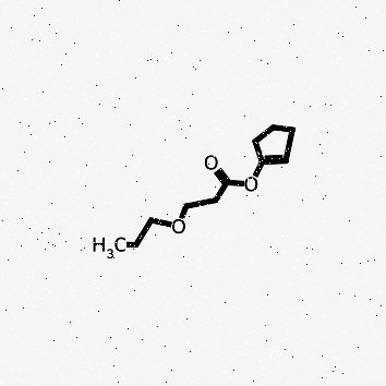 CCCOCCC(=O)OC1=CCCC1